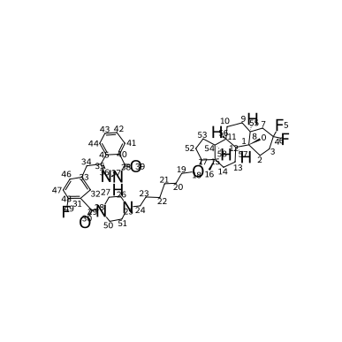 C[C@]12CCC(F)(F)C[C@@H]1CC[C@@H]1[C@@H]2CC[C@]2(C)[C@@H](OCCCCCCN3CCN(C(=O)c4cc(Cc5n[nH]c(=O)c6ccccc56)ccc4F)CC3)CC[C@@H]12